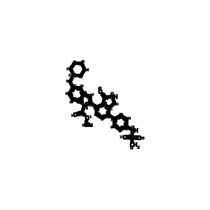 CC(C)(C)OC(=O)n1c(-c2ccc(-c3ccc(NS(C)(=O)=O)cc3)c3c2C(=O)NC3)cc2cc(CN3CCCCC3)ccc21